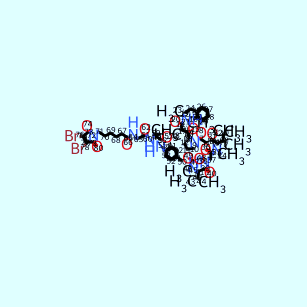 CC[C@@H](C)[C@@H]([C@@H](CC(=O)N1CCC[C@H]1[C@H](OC)[C@@H](C)C(=O)N[C@@H](C)Cc1ccccc1)OC)N(C)C(=O)CNC(=O)C(C(C)C)N(C)C(=O)OCc1ccc(NC(=O)[C@@H](C)NC(=O)CNC(=O)CCCCCN2C(=O)C(Br)=C(Br)C2=O)cc1